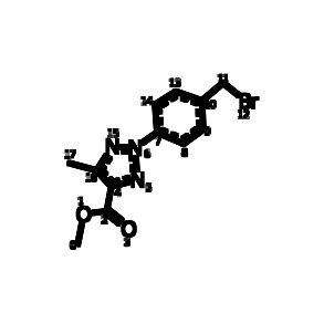 COC(=O)c1nn(-c2ccc(CBr)cc2)nc1C